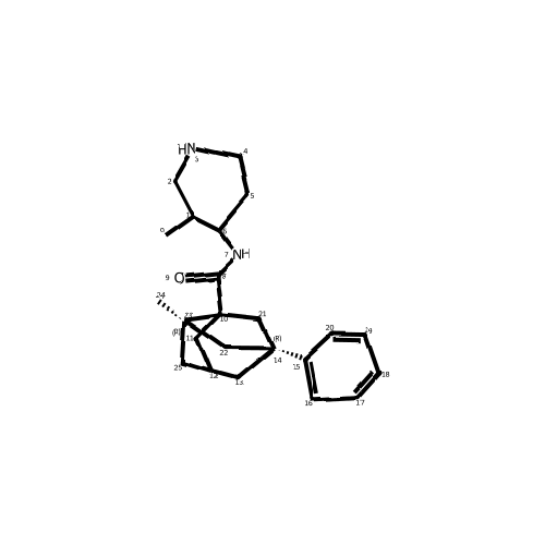 CC1CNCCC1NC(=O)C12CC3C[C@](c4ccccc4)(C1)C[C@@]2(C)C3